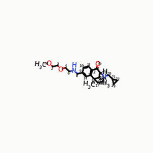 COCCOCCNCc1ccc2c(c1)[C@]1(C)CCN(CC3CC3)[C@H](C2=O)[C@@H]1C